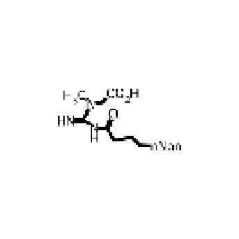 CCCCCCCCCCCCC(=O)NC(=N)N(C)CC(=O)O